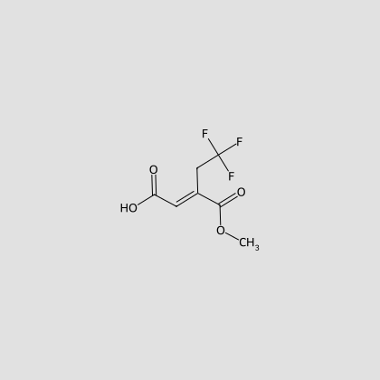 COC(=O)C(=CC(=O)O)CC(F)(F)F